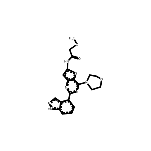 COCC(=O)Nc1cc2nc(-c3cccc4[nH]ncc34)nc(N3CCOCC3)c2s1